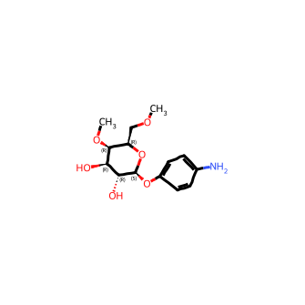 COC[C@H]1O[C@@H](Oc2ccc(N)cc2)[C@H](O)[C@@H](O)[C@H]1OC